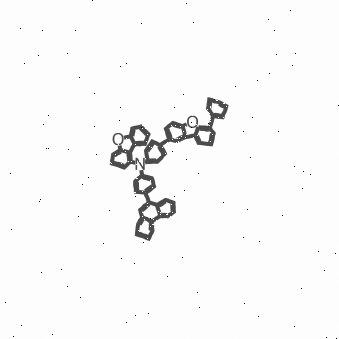 c1ccc(-c2cccc3c2oc2ccc(-c4ccc(N(c5ccc(-c6cc7ccccc7c7ccccc67)cc5)c5cccc6oc7ccccc7c56)cc4)cc23)cc1